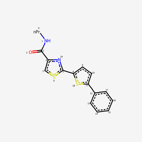 CCCNC(=O)c1csc(-c2ccc(-c3ccccc3)s2)n1